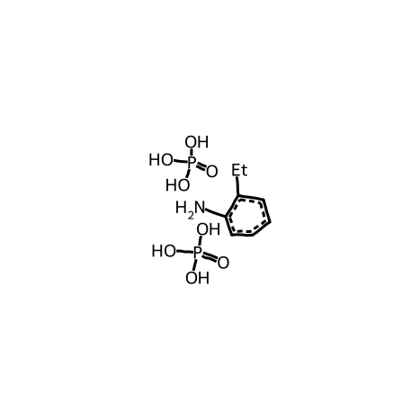 CCc1ccccc1N.O=P(O)(O)O.O=P(O)(O)O